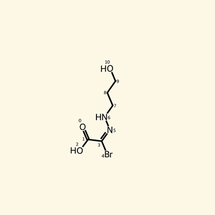 O=C(O)/C(Br)=N\NCCCO